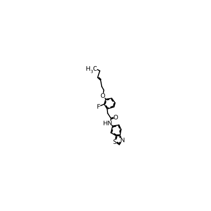 CCC=CCCOc1cccc(CC(=O)Nc2ccc3ncsc3c2)c1F